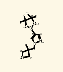 [CH2]C1(Cn2cc(B3OC(C)(C)C(C)(C)O3)cn2)COC1